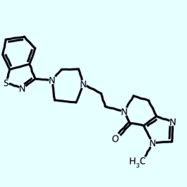 Cn1cnc2c1C(=O)N(CCN1CCN(c3nsc4ccccc34)CC1)CC2